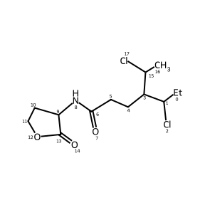 CCC(Cl)C(CCC(=O)NC1CCOC1=O)C(C)Cl